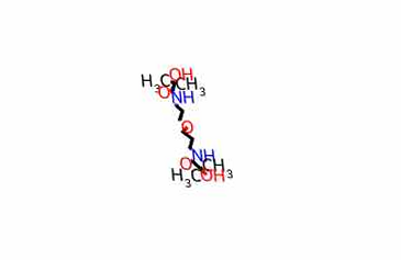 CC(C)(O)C(=O)NCCCOCCCNC(=O)C(C)(C)O